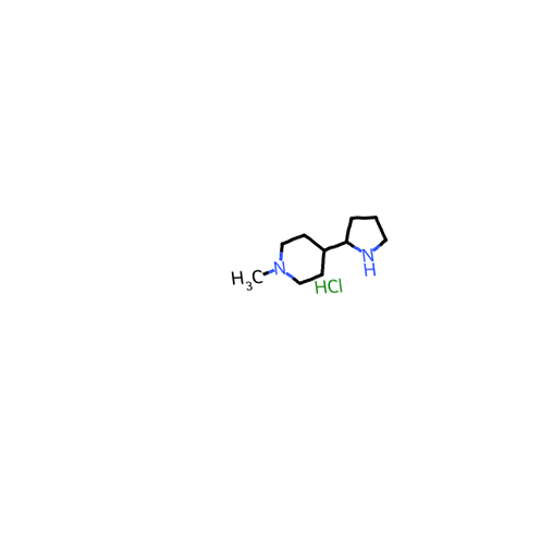 CN1CCC(C2CCCN2)CC1.Cl